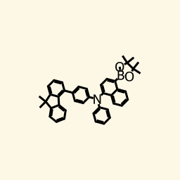 CC1(C)c2ccccc2-c2c(-c3ccc(N(c4ccccc4)c4ccc(B5OC(C)(C)C(C)(C)O5)c5ccccc45)cc3)cccc21